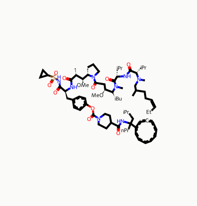 CC/C=C\CCC(C)CN(C)[C@H](C(=O)N[C@H](C(=O)N(C)C([C@@H](C)CC)[C@@H](CC(=O)N1CCC[C@H]1[C@H](OC)[C@@H](C)C(=O)N[C@@H](Cc1ccc(OC(=O)N2CCC(C(=O)NC(CCC)(CC(C)C)c3ccccccccc3)CC2)cc1)C(=O)NS(=O)(=O)C1CC1)OC)C(C)C)C(C)C